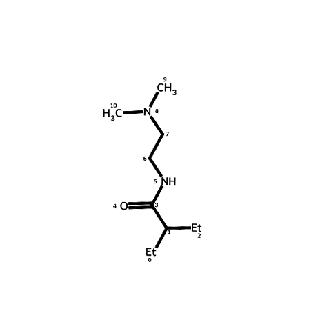 CCC(CC)C(=O)NCCN(C)C